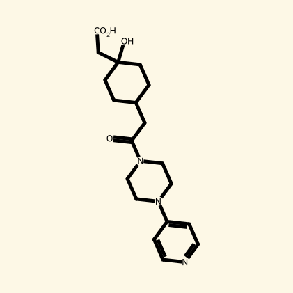 O=C(O)CC1(O)CCC(CC(=O)N2CCN(c3ccncc3)CC2)CC1